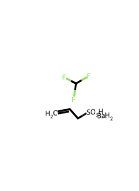 C=CCS(=O)(=O)O.FC(F)F.[BaH2]